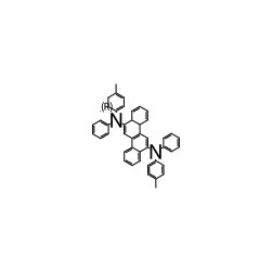 CC1=C=C=C(N(c2ccccc2)c2cc3c(c4ccccc24)C=C(N(C2=CC=C(C)C[C@H]2C)c2ccccc2)C2C=CC=CC32)C=C1